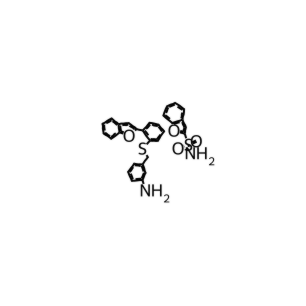 NS(=O)(=O)c1cc2ccccc2o1.Nc1cccc(CSc2ccccc2-c2cc3ccccc3o2)c1